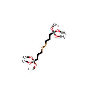 [SiH3]O[Si](CCCSSCCC[Si](O[SiH3])(O[SiH3])O[SiH3])(O[SiH3])O[SiH3]